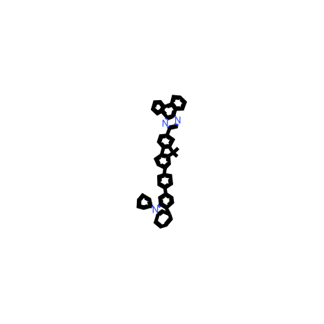 CC1(C)c2cc(-c3ccc(-c4ccc5c(c4)N(c4ccccc4)C4=CC5C=CC=C4)cc3)ccc2-c2ccc(-c3cnc4c5ccccc5c5ccccc5c4n3)cc21